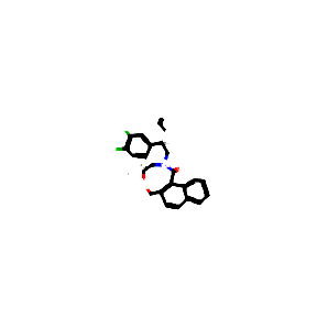 C=CC[C@H](CN1C[C@@H](C)OCc2ccc3ccccc3c2C1=O)c1ccc(Cl)c(Cl)c1